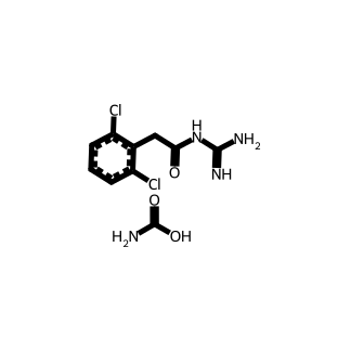 N=C(N)NC(=O)Cc1c(Cl)cccc1Cl.NC(=O)O